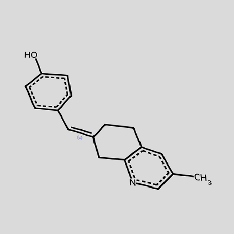 Cc1cnc2c(c1)CC/C(=C\c1ccc(O)cc1)C2